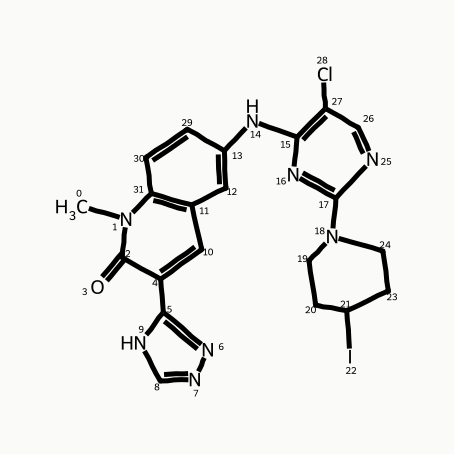 Cn1c(=O)c(-c2nnc[nH]2)cc2cc(Nc3nc(N4CCC(I)CC4)ncc3Cl)ccc21